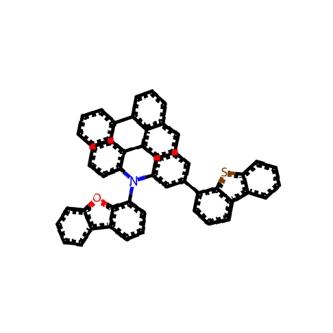 c1ccc(-c2cccc3cccc(-c4ccccc4N(c4cccc(-c5cccc6c5sc5ccccc56)c4)c4cccc5c4oc4ccccc45)c23)cc1